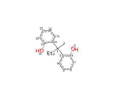 CCC(C)(c1ccccc1O)c1ccccc1O